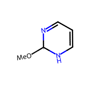 CO[C]1N=CC=CN1